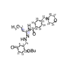 C/C=C/C(=N\NCc1cc(Cl)ccc1OCC(C)C)NC(=O)c1ccc(CN2CCOCC2)cc1